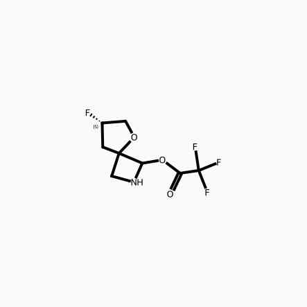 O=C(OC1NCC12C[C@H](F)CO2)C(F)(F)F